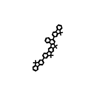 CC1(C)c2ccccc2-c2ccc(-c3ccc4c(c3)C(C)(C)c3cc5c(cc3-4)-c3c(cc(-c4ccc6c(c4)C(C)(C)c4ccccc4-6)c4ccccc34)C5(C)C)cc21